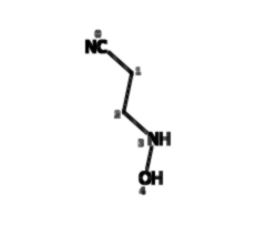 N#CCCNO